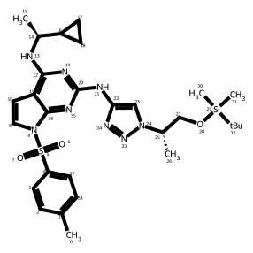 Cc1ccc(S(=O)(=O)n2ccc3c(N[C@@H](C)C4CC4)nc(Nc4cn([C@@H](C)CO[Si](C)(C)C(C)(C)C)nn4)nc32)cc1